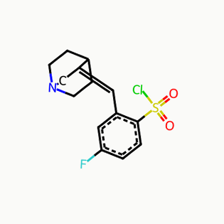 O=S(=O)(Cl)c1ccc(F)cc1/C=C1\CN2CCC1CC2